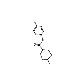 CC1CCC(C(=O)Oc2ccc(I)cc2)CC1